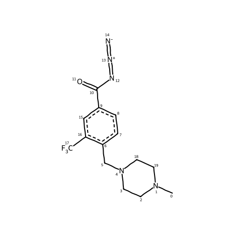 CN1CCN(Cc2ccc(C(=O)N=[N+]=[N-])cc2C(F)(F)F)CC1